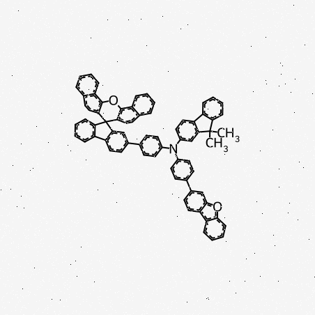 CC1(C)c2ccccc2-c2ccc(N(c3ccc(-c4ccc5c(c4)C4(c6ccccc6-5)c5ccc6ccccc6c5Oc5c4ccc4ccccc54)cc3)c3ccc(-c4ccc5c(c4)oc4ccccc45)cc3)cc21